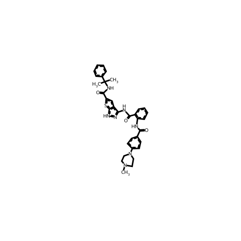 CN1CCN(c2ccc(C(=O)Nc3ccccc3C(=O)Nc3n[nH]c4sc(C(=O)NC(C)(C)c5ccccc5)cc34)cc2)CC1